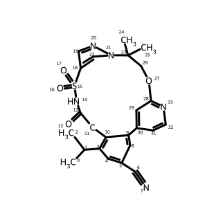 CC(C)c1cc(C#N)cc2c1CC(=O)NS(=O)(=O)c1cnn(c1)C(C)(C)COc1cc-2ccn1